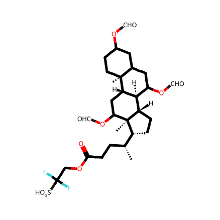 C[C@H](CCC(=O)OCC(F)(F)S(=O)(=O)O)[C@H]1CC[C@H]2[C@@H]3C(OC=O)CC4CC(OC=O)CC[C@]4(C)[C@H]3CC(OC=O)[C@]12C